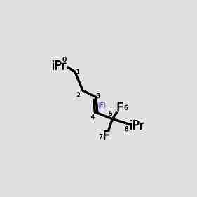 CC(C)CC/C=C/C(F)(F)C(C)C